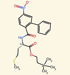 CSCC[C@H](NC(=O)c1ccc([N+](=O)[O-])cc1-c1ccccc1)C(=O)OCC[Si](C)(C)C